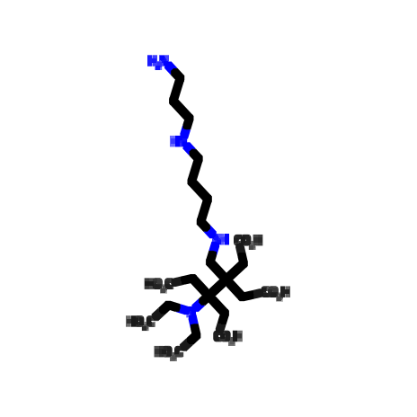 NCCCNCCCCNCC(CC(=O)O)(CC(=O)O)C(CC(=O)O)(CC(=O)O)N(CC(=O)O)CC(=O)O